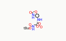 CC(C)(C)OC(=O)NC[C@@H]1OC(=O)O[C@H]1CNc1ccc2c(c1)NC(=O)CO2